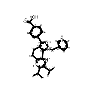 CC(C)c1nc2c(nc1C(C)C)-c1c(c(-c3ccc(C(=O)O)cc3)nn1Cc1cccnc1)CC2